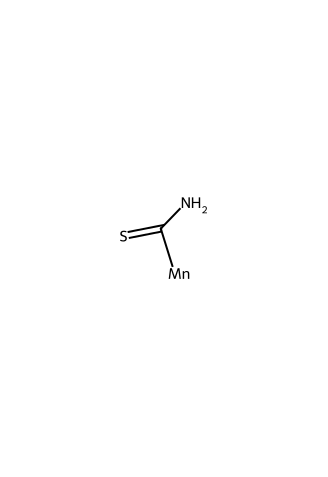 N[C](=S)[Mn]